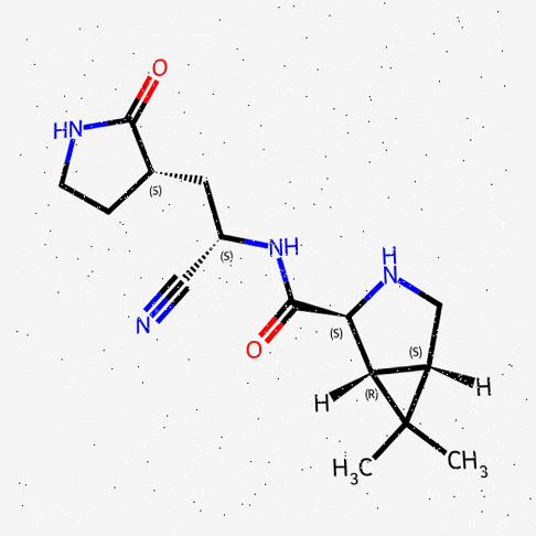 CC1(C)[C@@H]2[C@@H](C(=O)N[C@H](C#N)C[C@@H]3CCNC3=O)NC[C@@H]21